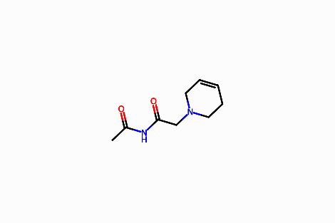 CC(=O)NC(=O)CN1CC=CCC1